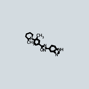 Cc1cc(-c2nc(-c3ccc4[nH]cnc4c3)no2)ccc1N1CCCCC1C